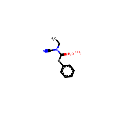 CCN(C#N)C(=O)[B]c1ccccc1.O.O